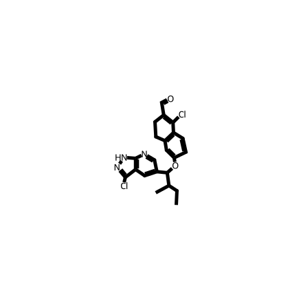 CCC(C)C(Oc1ccc2c(c1)CCC(C=O)=C2Cl)c1cnc2[nH]nc(Cl)c2c1